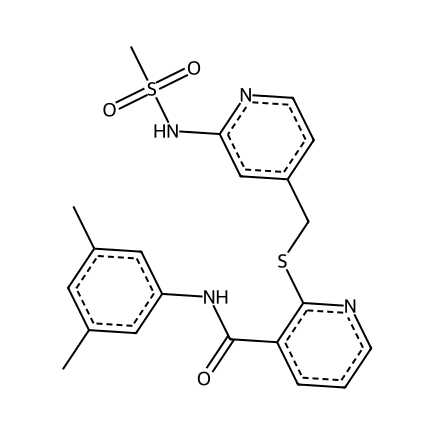 Cc1cc(C)cc(NC(=O)c2cccnc2SCc2ccnc(NS(C)(=O)=O)c2)c1